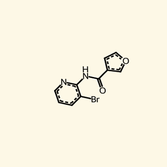 O=C(Nc1ncccc1Br)c1ccoc1